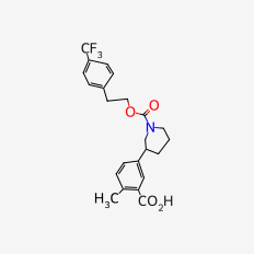 Cc1ccc(C2CCCN(C(=O)OCCc3ccc(C(F)(F)F)cc3)C2)cc1C(=O)O